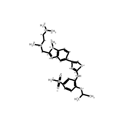 CC(C)Oc1ccc(S(N)(=O)=O)cc1Nc1nc(-c2ccc3c(c2)nc(CN(C)CCN(C)C)n3C)cs1